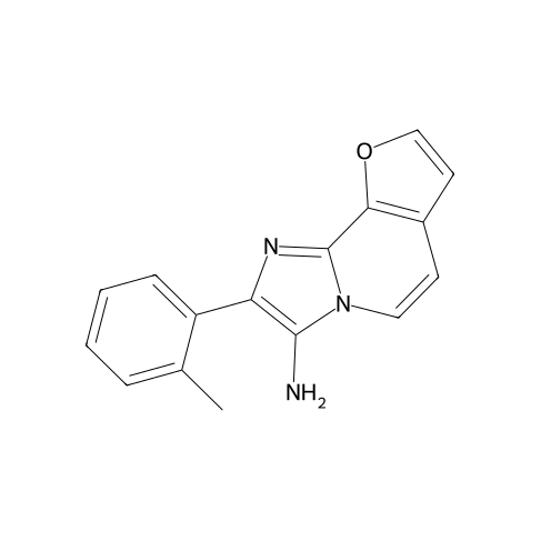 Cc1ccccc1-c1nc2c3occc3ccn2c1N